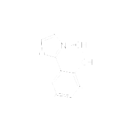 Cc1ccccc1-c1occ[n+]1C